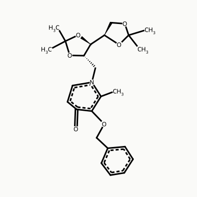 Cc1c(OCc2ccccc2)c(=O)ccn1C[C@@H]1OC(C)(C)O[C@H]1[C@H]1COC(C)(C)O1